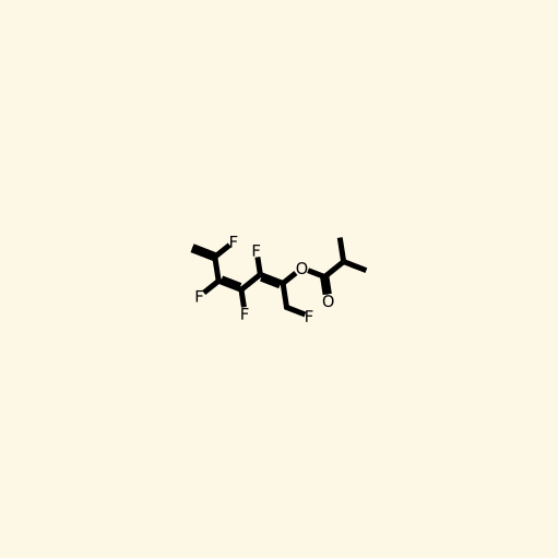 C=C(F)/C(F)=C(F)\C(F)=C(/CF)OC(=O)C(C)C